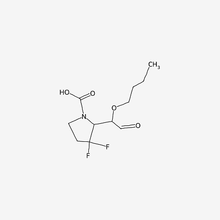 CCCCOC(C=O)C1N(C(=O)O)CCC1(F)F